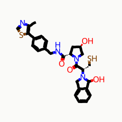 Cc1ncsc1-c1ccc(CNC(=O)[C@@H]2C[C@@H](O)CN2C(=O)[C@H](CS)N2Cc3ccccc3C2O)cc1